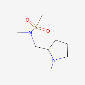 CN1CCCC1CN(C)S(C)(=O)=O